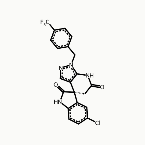 O=C1C[C@]2(C(=O)Nc3ccc(Cl)cc32)c2cnn(Cc3ccc(C(F)(F)F)cc3)c2N1